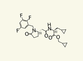 O=C(C[C@@H]1CCC(=O)N1Cc1cc(F)cc(F)c1F)N[C@@H](CC1CC1)C(=O)OCC1CC1